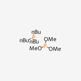 CCCCP(CCCC)CCCC.COP(OC)OC